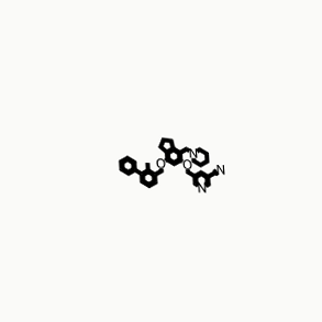 Cc1c(COc2cc(OCc3cncc(C#N)c3)c(CN3CCCCC3)c3c2CCC3)cccc1-c1ccccc1